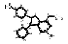 CCc1cc(O)cc2c1CC(c1ccc(O)cc1)C2c1ccccc1